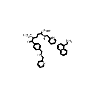 CCCCCC(CC[C@H](C(=O)O)C(=O)c1ccc(CNCc2ccccn2)cc1)NCc1ccccn1.NCc1cccc2ccccc12